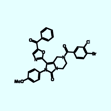 COc1ccc(-n2c(-c3ncc(C(=O)c4ccccc4)o3)c3n(c2=O)CCN(C(=O)c2ccc(Br)c(Cl)c2)C3)cc1